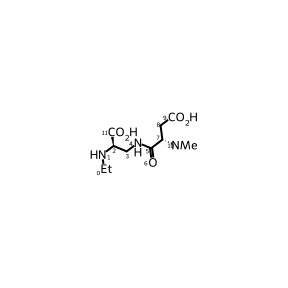 CCN[C@H](CNC(=O)[C@H](CC(=O)O)NC)C(=O)O